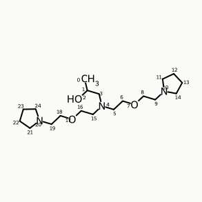 CC(O)CN(CCOCCN1CCCC1)CCOCCN1CCCC1